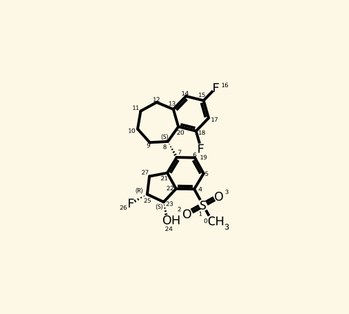 CS(=O)(=O)c1ccc([C@@H]2CCCCc3cc(F)cc(F)c32)c2c1[C@H](O)[C@H](F)C2